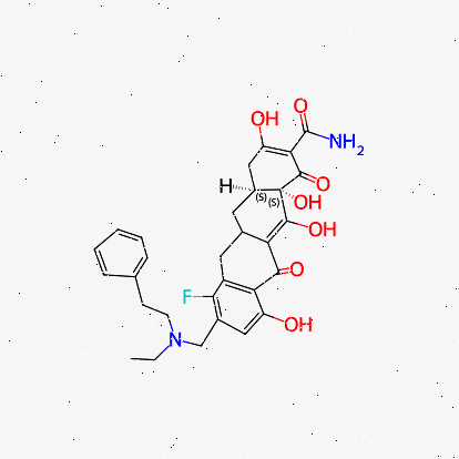 CCN(CCc1ccccc1)Cc1cc(O)c2c(c1F)CC1C[C@H]3CC(O)=C(C(N)=O)C(=O)[C@@]3(O)C(O)=C1C2=O